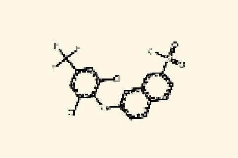 O=S(=O)(Cl)c1ccc2ccc(Oc3c(Cl)cc(C(F)(F)F)cc3Cl)cc2c1